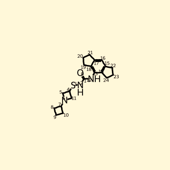 O=C(NSC1CN(C2CCC2)C1)Nc1c2c(cc3c1CCC3)CCC2